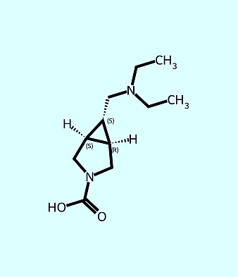 CCN(CC)C[C@@H]1[C@H]2CN(C(=O)O)C[C@@H]12